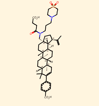 C=C(C)[C@@H]1CC[C@]2(CN(CCCN3CCS(=O)(=O)CC3)C(=O)CCC(=O)O)CC[C@]3(C)[C@H](CC[C@@H]4[C@@]5(C)CC=C(c6ccc(C(=O)O)cc6)C(C)(C)[C@@H]5CC[C@]43C)[C@@H]12